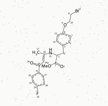 COC(=O)C(Cc1ccc(OCCBr)cc1)NC(C)=CC(=O)c1ccc(F)cc1